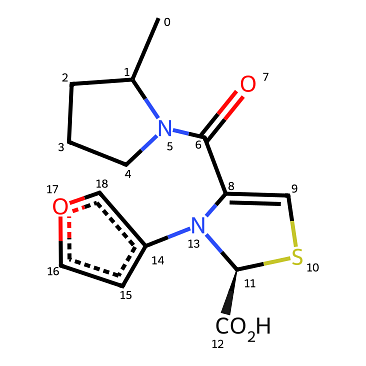 CC1CCCN1C(=O)C1=CS[C@@H](C(=O)O)N1c1ccoc1